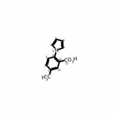 Cc1ccc(-n2cccc2)c(C(=O)O)c1